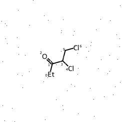 CCC(=O)C(Cl)CCl